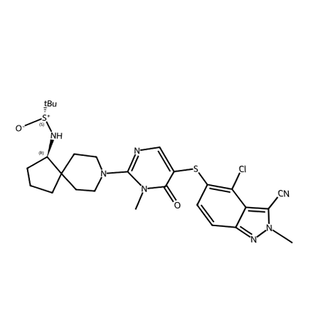 Cn1nc2ccc(Sc3cnc(N4CCC5(CCC[C@H]5N[S@+]([O-])C(C)(C)C)CC4)n(C)c3=O)c(Cl)c2c1C#N